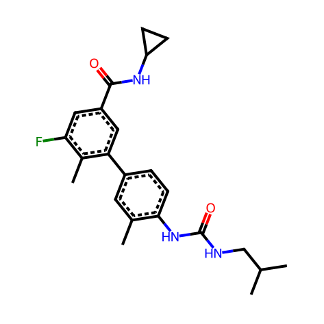 Cc1cc(-c2cc(C(=O)NC3CC3)cc(F)c2C)ccc1NC(=O)NCC(C)C